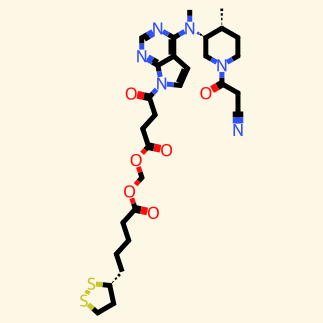 C[C@@H]1CCN(C(=O)CC#N)C[C@@H]1N(C)c1ncnc2c1ccn2C(=O)CCC(=O)OCOC(=O)CCCC[C@@H]1CCSS1